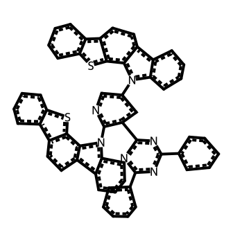 c1ccc(-c2nc(-c3ccccc3)nc(-c3cc(-n4c5ccccc5c5ccc6c7ccccc7sc6c54)cnc3-n3c4ccccc4c4ccc5c6ccccc6sc5c43)n2)cc1